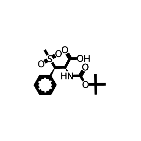 CC(C)(C)OC(=O)N[C@@H](C(=O)O)[C@@H](c1ccccc1)S(C)(=O)=O